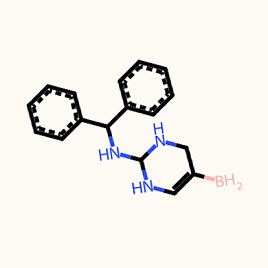 BC1=CNC(NC(c2ccccc2)c2ccccc2)NC1